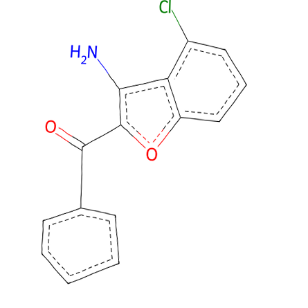 Nc1c(C(=O)c2ccccc2)oc2cccc(Cl)c12